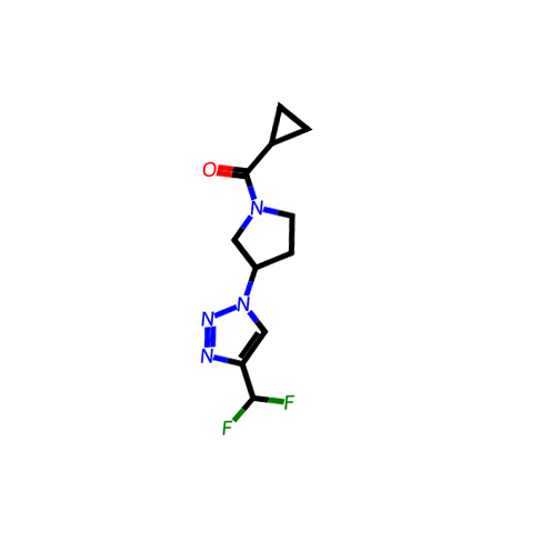 O=C(C1CC1)N1CCC(n2cc(C(F)F)nn2)C1